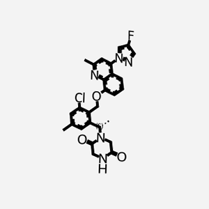 Cc1cc(Cl)c(COc2cccc3c(-n4cc(F)cn4)cc(C)nc23)c([C@H](C)N2CC(=O)NCC2=O)c1